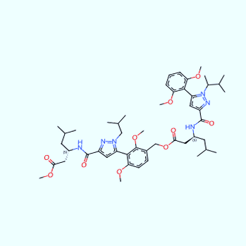 COC(=O)C[C@H](CC(C)C)NC(=O)c1cc(-c2c(OC)ccc(COC(=O)C[C@H](CC(C)C)NC(=O)c3cc(-c4c(OC)cccc4OC)n(C(C)C(C)C)n3)c2OC)n(CC(C)C)n1